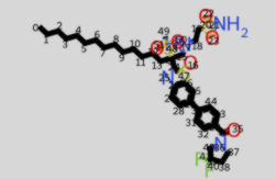 CCCCCCCCCCCCCCC(C(=O)NCCS(N)(=O)=O)(c1nc2ccc(-c3ccc(C(=O)N4CCC(F)(F)C4)cc3)cc2s1)S(C)(=O)=O